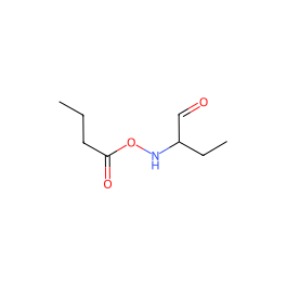 CCCC(=O)ONC(C=O)CC